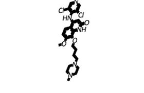 COc1ccc2c(Nc3c(Cl)cncc3Cl)cc(=O)[nH]c2c1OCCCCN1CCN(C)CC1